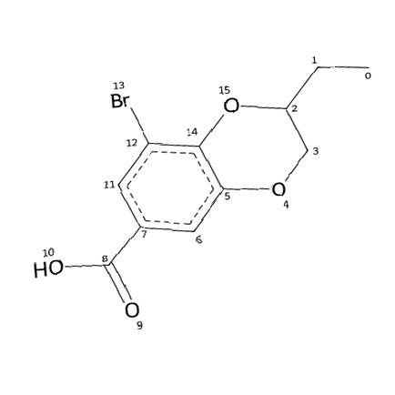 CCC1COc2cc(C(=O)O)cc(Br)c2O1